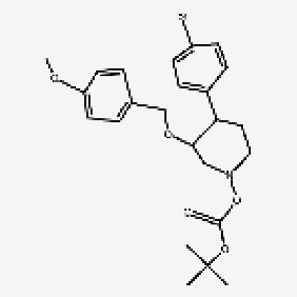 COc1ccc(COC2CN(OC(=O)OC(C)(C)C)CCC2c2ccc(Br)cc2)cc1